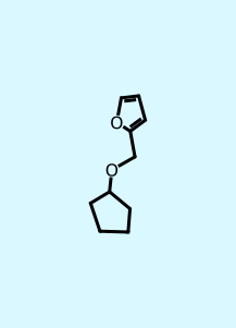 c1coc(COC2CCCC2)c1